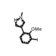 COc1c(I)cccc1-c1cnn(C)c1